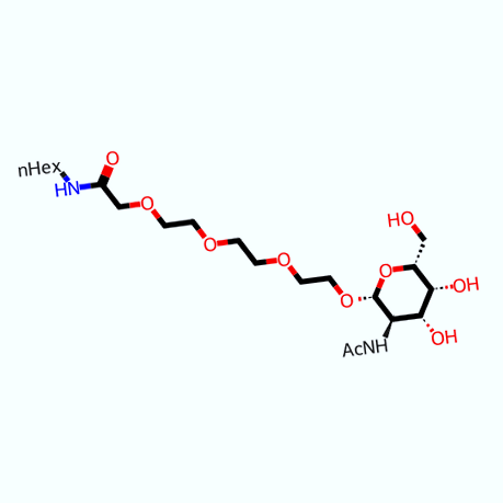 CCCCCCNC(=O)COCCOCCOCCO[C@@H]1O[C@H](CO)[C@H](O)[C@H](O)[C@H]1NC(C)=O